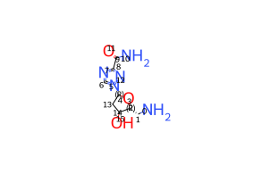 NC[C@H]1O[C@@H](n2cnc(C(N)=O)n2)CC1O